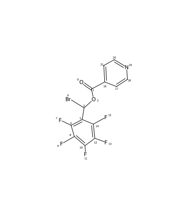 O=C(OC(Br)c1c(F)c(F)c(F)c(F)c1F)c1ccncc1